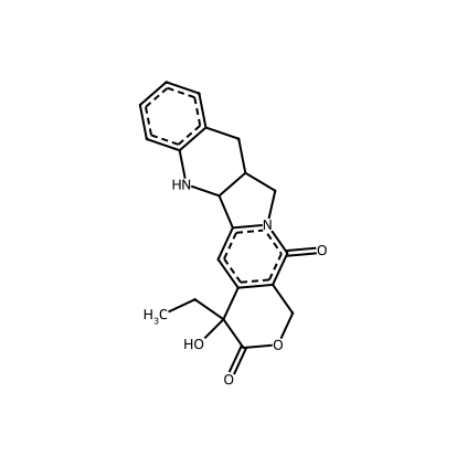 CCC1(O)C(=O)OCc2c1cc1n(c2=O)CC2Cc3ccccc3NC12